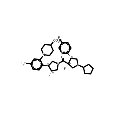 O=C(O)C1CCN(c2cc(C(F)(F)F)ccc2[C@H]2CN(C(=O)[C@]3(F)CN(C4CCCC4)C[C@H]3c3ccc(F)cn3)C[C@@H]2I)CC1